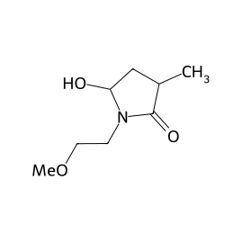 COCCN1C(=O)C(C)CC1O